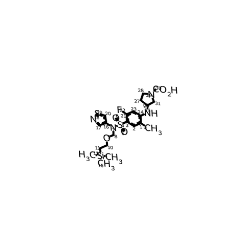 Cc1cc(S(=O)(=O)N(COCC[Si](C)(C)C)c2cnsc2)c(F)cc1N[C@H]1CCN(C(=O)O)C1